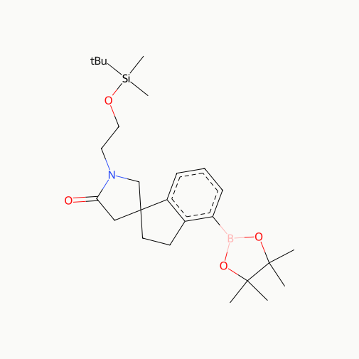 CC1(C)OB(c2cccc3c2CCC32CC(=O)N(CCO[Si](C)(C)C(C)(C)C)C2)OC1(C)C